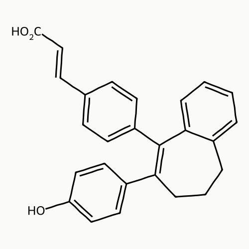 O=C(O)C=Cc1ccc(C2=C(c3ccc(O)cc3)CCCc3ccccc32)cc1